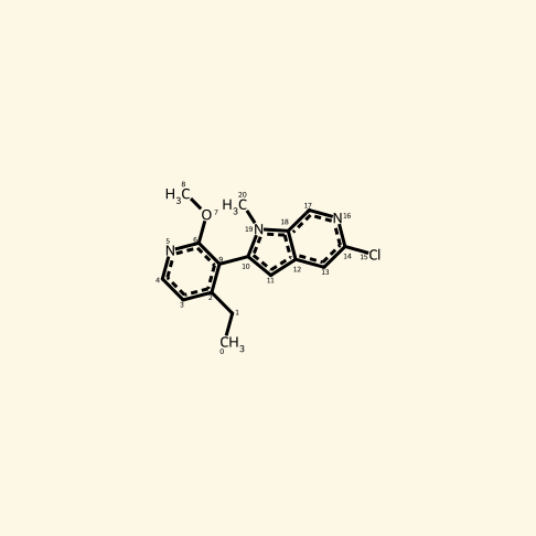 CCc1ccnc(OC)c1-c1cc2cc(Cl)ncc2n1C